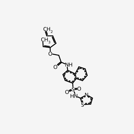 C=C/C=C\C(=C/C)OCC(=O)Nc1ccc(S(=O)(=O)Nc2nccs2)c2ccccc12